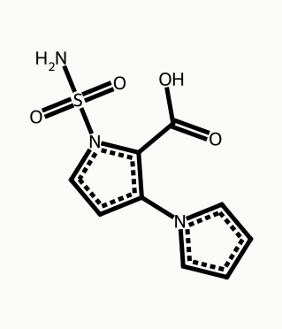 NS(=O)(=O)n1ccc(-n2cccc2)c1C(=O)O